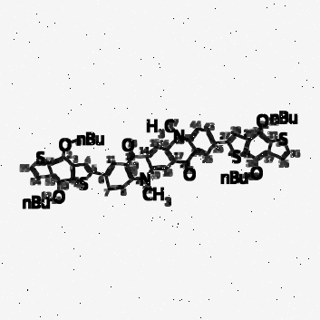 CCCCOc1c2cc(-c3ccc4c(c3)c(=O)c3cc5c(cc3n4C)c(=O)c3cc(-c4cc6c(OCCCC)c7sccc7c(OCCCC)c6s4)ccc3n5C)sc2c(OCCCC)c2ccsc12